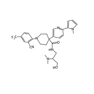 CN(C)C(CO)CNC(=O)C1(c2ccc(-c3cccn3C)nc2)CCN(c2ccc(C(F)(F)F)cc2C#N)CC1